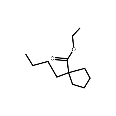 CCCCC1(C(=O)OCC)CCCC1